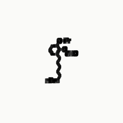 CCCCCCCCCCCCCCCc1cccc(OC(C)C)c1OC=O